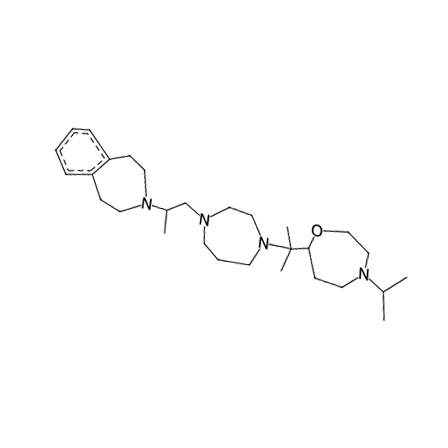 CC(C)N1CCOC(C(C)(C)N2CCCN(CC(C)N3CCc4ccccc4CC3)CC2)CC1